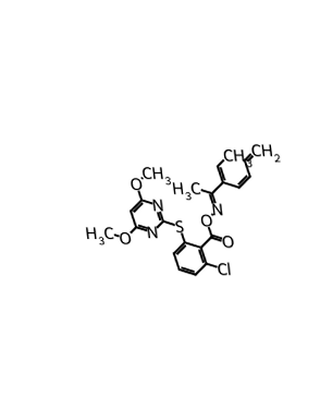 C=C\C=C/C(=C\C)C(/C)=N/OC(=O)c1c(Cl)cccc1Sc1nc(OC)cc(OC)n1